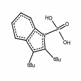 CC(C)(C)c1c(C(C)(C)C)n(P(=O)(O)O)c2ccccc12